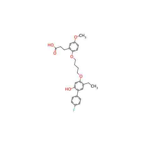 CCc1cc(-c2ccc(F)cc2)c(O)cc1OCCCCOc1ccc(OC)cc1CCC(=O)O